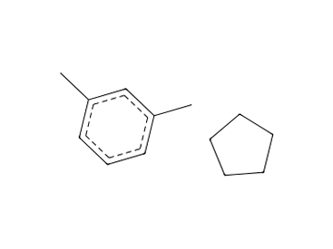 C1CCCC1.Cc1cccc(C)c1